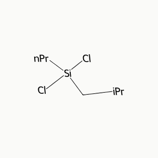 CCC[Si](Cl)(Cl)CC(C)C